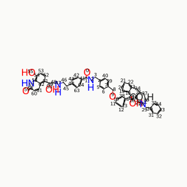 O=C(NCc1ccc(COc2cccc([C@@](O)(C(=O)O)c3ccccc3CC3CCN(Cc4ccccc4)CC3)c2)cc1)c1ccc(CCNC[C@H](O)c2ccc(O)c3[nH]c(=O)ccc23)cc1